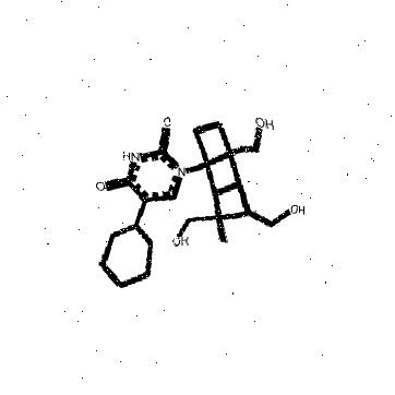 CC1(CO)C2C3C1(CO)C1CC2(n2cc(C4CCCCC4)c(=O)[nH]c2=O)C13CO